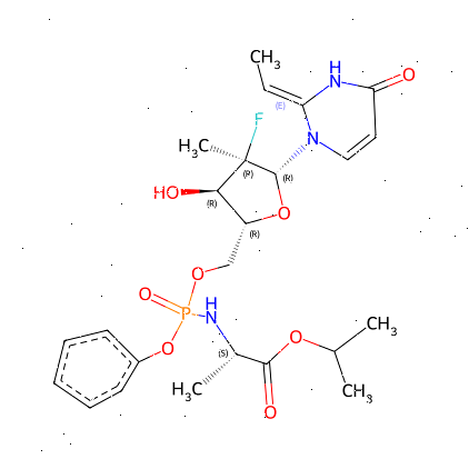 C/C=C1\NC(=O)C=CN1[C@@H]1O[C@H](COP(=O)(N[C@@H](C)C(=O)OC(C)C)Oc2ccccc2)[C@@H](O)[C@@]1(C)F